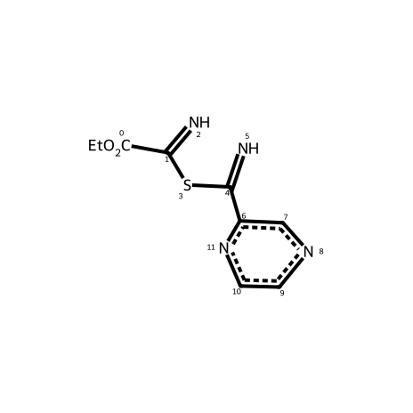 CCOC(=O)C(=N)SC(=N)c1cnccn1